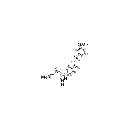 CNCCN(C)Cc1c[nH]nc1-c1ccc(N(C)CCOc2cccc(OC)c2)cc1